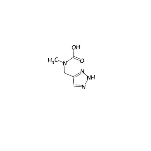 CN(Cc1cn[nH]n1)C(=O)O